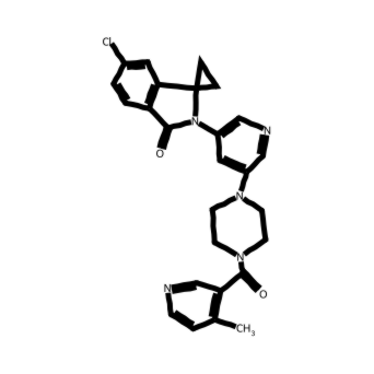 Cc1ccncc1C(=O)N1CCN(c2cncc(N3C(=O)c4ccc(Cl)cc4C34CC4)c2)CC1